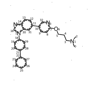 CN(C)CCCOc1ccc(-c2ccc3ncn(-c4ccc(-c5ccccc5)cc4)c3c2)cn1